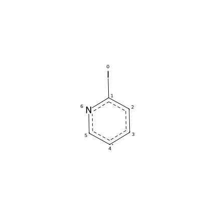 Ic1cc[c]cn1